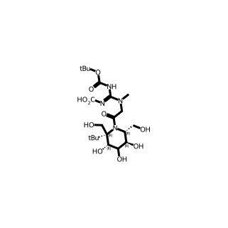 CN(CC(=O)N1[C@H](CO)[C@@H](O)C(O)[C@H](O)[C@]1(CO)C(C)(C)C)C(=NC(=O)O)NC(=O)OC(C)(C)C